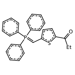 CCC(=O)c1ccc(C=P(c2ccccc2)(c2ccccc2)c2ccccc2)s1